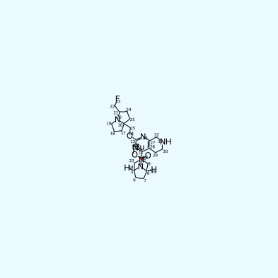 CC(C)(C)OC(=O)N1[C@@H]2CC[C@H]1CN(c1nc(OCC34CCCN3C(CF)CC4)nc3c1CCNC3)C2